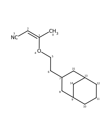 C/C(=C/C#N)OCCC1CC2CCCC(C2)C1